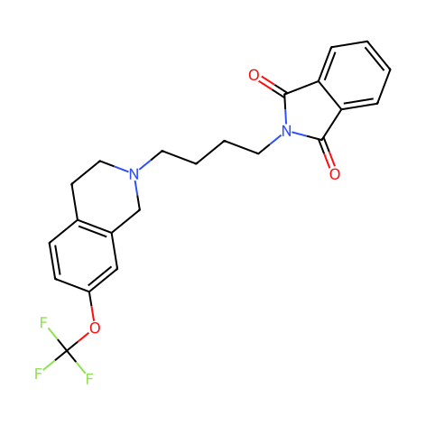 O=C1c2ccccc2C(=O)N1CCCCN1CCc2ccc(OC(F)(F)F)cc2C1